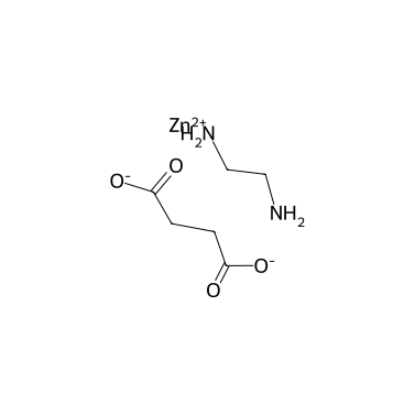 NCCN.O=C([O-])CCC(=O)[O-].[Zn+2]